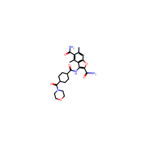 Cc1cc2oc(C(N)=O)c(NC(=O)C3CCC(C(=O)N4CCOCC4)CC3)c2c(C)c1C(N)=O